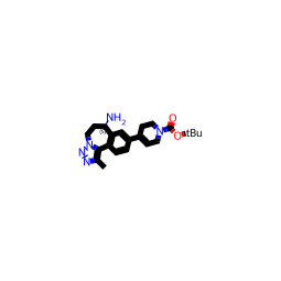 Cc1nnn2c1-c1ccc(C3=CCN(C(=O)OC(C)(C)C)CC3)cc1[C@@H](N)CC2